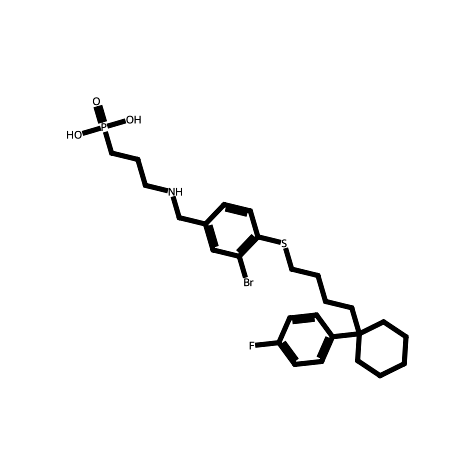 O=P(O)(O)CCCNCc1ccc(SCCCCC2(c3ccc(F)cc3)CCCCC2)c(Br)c1